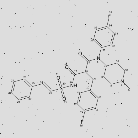 CN1CCC(N(C(=O)C(Cc2ccc(F)cc2)C(=O)NS(=O)(=O)C=Cc2ccccc2)c2ccc(F)cc2)CC1